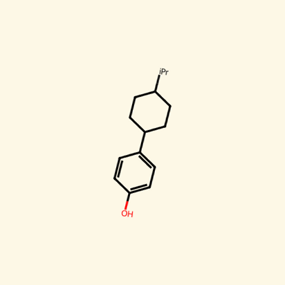 CC(C)C1CCC(c2ccc(O)cc2)CC1